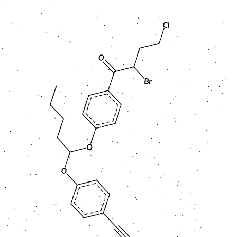 CCCCC(Oc1ccc(C#N)cc1)Oc1ccc(C(=O)C(Br)CCCl)cc1